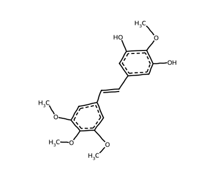 COc1cc(C=Cc2cc(O)c(OC)c(O)c2)cc(OC)c1OC